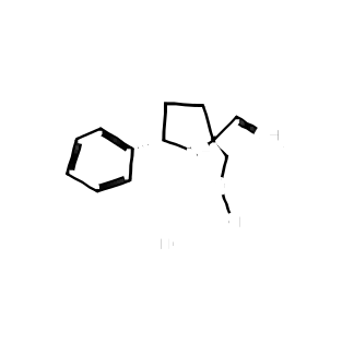 C=C[C@@]1(COC)CC[C@@H](c2ccccc2)N1.Cl